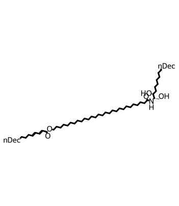 CCCCCCCCCCCCCC=CC=CC(=O)OCCCCCCCCCCCCCCCCCCCCCCCCCCCC(=O)N[C@@H](CO)[C@H](O)CCCCCCCCCCCCCCCCC